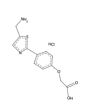 Cl.NCc1cnc(-c2ccc(OCC(=O)O)cc2)s1